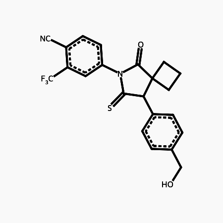 N#Cc1ccc(N2C(=O)C3(CCC3)C(c3ccc(CO)cc3)C2=S)cc1C(F)(F)F